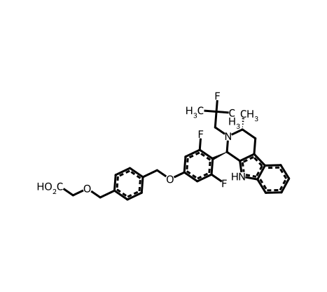 C[C@@H]1Cc2c([nH]c3ccccc23)[C@@H](c2c(F)cc(OCc3ccc(COCC(=O)O)cc3)cc2F)N1CC(C)(C)F